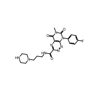 Cn1c(=O)c2nc(C(=O)NCCCN3CCNCC3)nnc2n(-c2ccc(F)cc2)c1=O